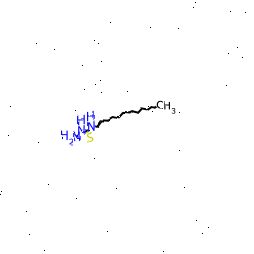 CCCCCCCCCCCCCCNC(=S)NN